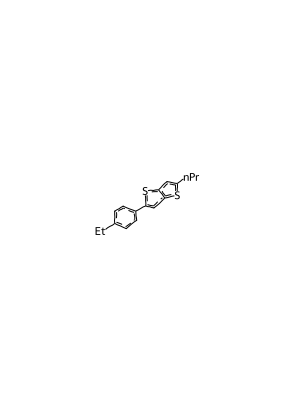 CCCc1cc2sc(-c3ccc(CC)cc3)cc2s1